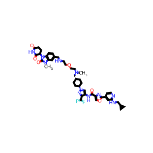 CN(CCOCCNCc1ccc2c(c1)n(C)c(=O)n2C1CCC(=O)NC1=O)C[C@H]1CC[C@H](n2cc(NC(=O)c3coc(-c4ccnc(NCC5CC5)c4)n3)c(C(F)F)n2)CC1